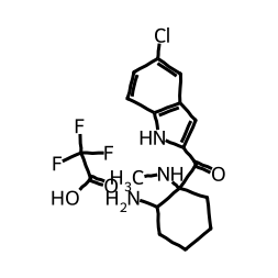 CNC1(C(=O)c2cc3cc(Cl)ccc3[nH]2)CCCCC1N.O=C(O)C(F)(F)F